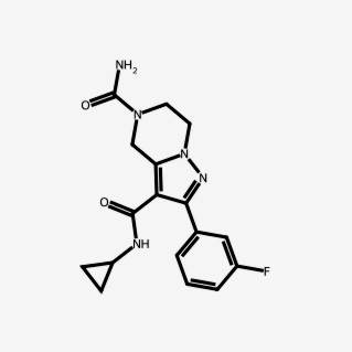 NC(=O)N1CCn2nc(-c3cccc(F)c3)c(C(=O)NC3CC3)c2C1